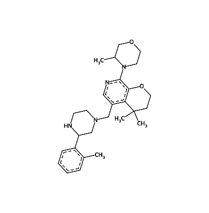 Cc1ccccc1C1CN(Cc2cnc(N3CCOCC3C)c3c2C(C)(C)CCO3)CCN1